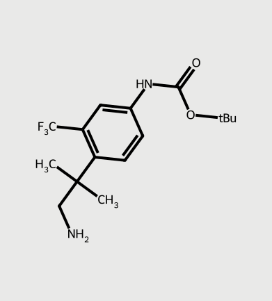 CC(C)(C)OC(=O)Nc1ccc(C(C)(C)CN)c(C(F)(F)F)c1